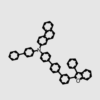 c1ccc(-c2ccc(N(c3ccc(-c4ccc(-c5cccc(-c6oc7ccccc7c6-c6ccccc6)c5)cc4)cc3)c3ccc4c(ccc5ccccc54)c3)cc2)cc1